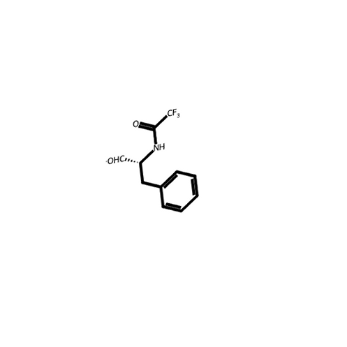 O=[C][C@@H](Cc1ccccc1)NC(=O)C(F)(F)F